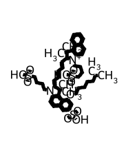 CC(C)CCCCCOc1cc(S(=O)(=O)O)cc2ccc3c(c12)C(C)(C)\C(=C/C=C/C=C/C1=[N+](CCCCS(=O)(=O)O)c2ccc4ccccc4c2C1(C)C)N3CCCCS(=O)(=O)O